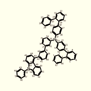 c1ccc(-c2ccccc2-c2ccc(N(c3ccc(-c4ccccc4-c4ccccc4)cc3)c3cccc(-c4cccc(-c5cccc6c5c5ccccc5n6-c5ccccc5)c4)c3)cc2)cc1